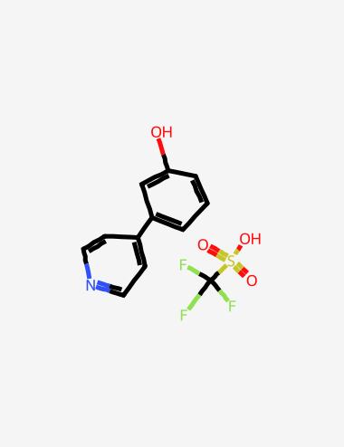 O=S(=O)(O)C(F)(F)F.Oc1cccc(-c2ccncc2)c1